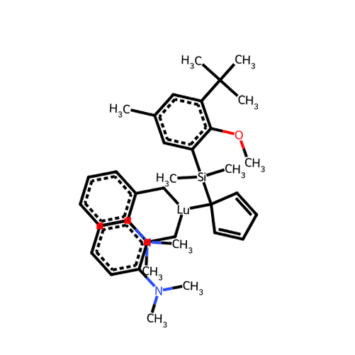 COc1c(C(C)(C)C)cc(C)cc1[Si](C)(C)[C]1([Lu]([CH2]c2ccccc2N(C)C)[CH2]c2ccccc2N(C)C)C=CC=C1